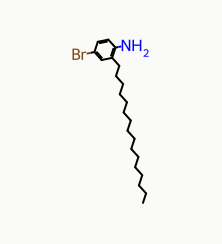 CCCCCCCCCCCCCCCCc1cc(Br)ccc1N